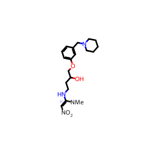 CN/C(=C\[N+](=O)[O-])NCCC(O)COc1cccc(CN2CCCCC2)c1